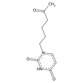 CC(=O)CCCCn1ccc(=O)[nH]c1=O